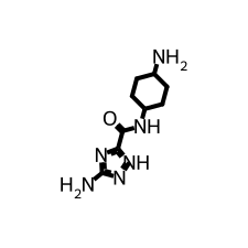 Nc1n[nH]c(C(=O)NC2CCC(N)CC2)n1